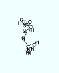 Cc1c(C#Cc2cnn(CCn3cnc(CNc4cccc5c4CN(C4CCC(=O)NC4=O)C5=O)c3)c2)sc2c1C(c1ccc(Cl)cc1)=NCc1nnc(C)n1-2